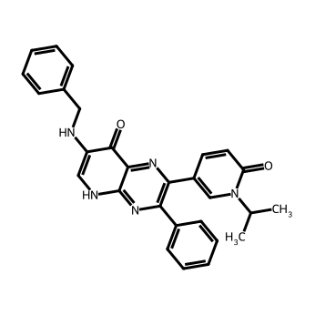 CC(C)n1cc(-c2nc3c(=O)c(NCc4ccccc4)c[nH]c3nc2-c2ccccc2)ccc1=O